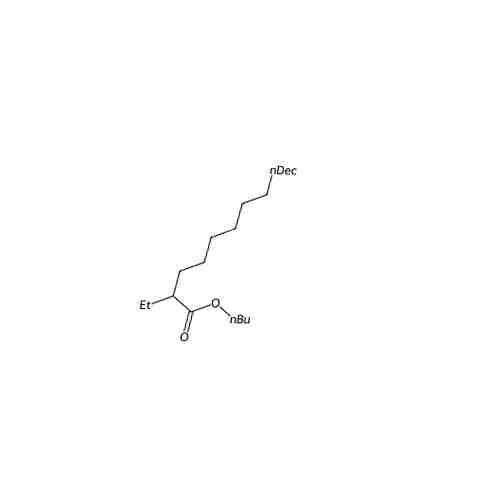 CCCCCCCCCCCCCCCCC(CC)C(=O)OCCCC